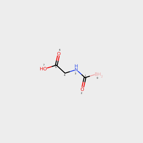 BC(=O)NCC(=O)O